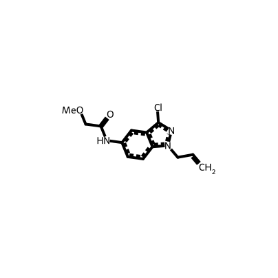 C=CCn1nc(Cl)c2cc(NC(=O)COC)ccc21